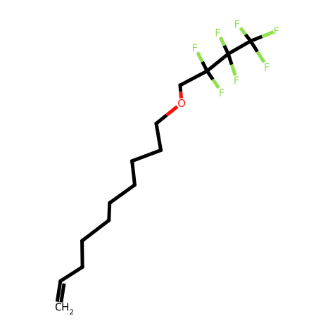 C=CCCCCCCCCOCC(F)(F)C(F)(F)C(F)(F)F